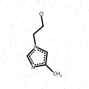 Cc1cn(CCCl)cn1